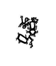 CSC=C(c1ccccc1)c1ccc2nc(N)n(S(=O)(=O)C(C)C)c2c1